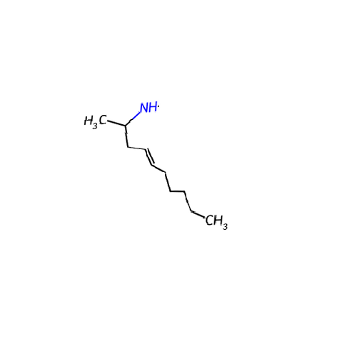 CCCCCC=CCC(C)[NH]